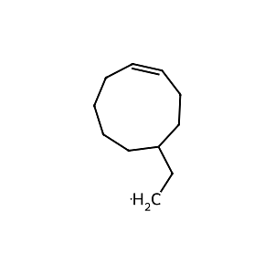 [CH2]CC1CC/C=C\CCCC1